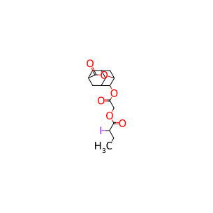 CCC(I)C(=O)OCC(=O)OC1C2CC3CC(C2)C(=O)OC1C3